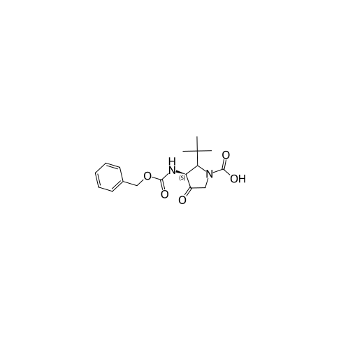 CC(C)(C)C1[C@H](NC(=O)OCc2ccccc2)C(=O)CN1C(=O)O